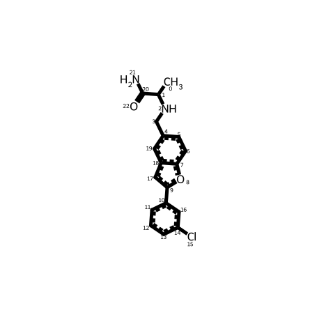 CC(NCc1ccc2oc(-c3cccc(Cl)c3)cc2c1)C(N)=O